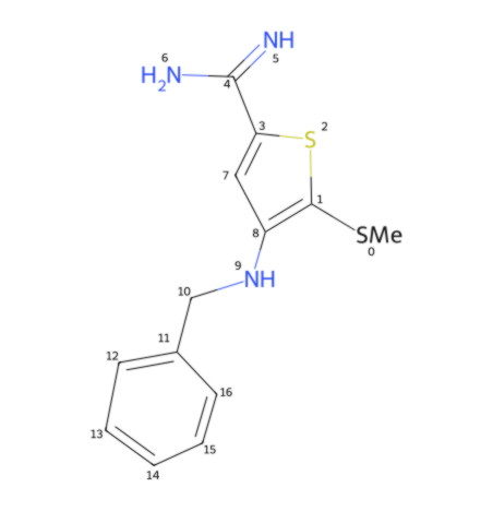 CSc1sc(C(=N)N)cc1NCc1ccccc1